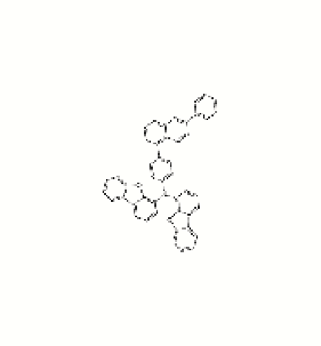 c1ccc(-c2ccc3c(-c4ccc(N(c5cccc6c5oc5ccccc56)c5cccc6c5oc5ccccc56)cc4)cccc3c2)cc1